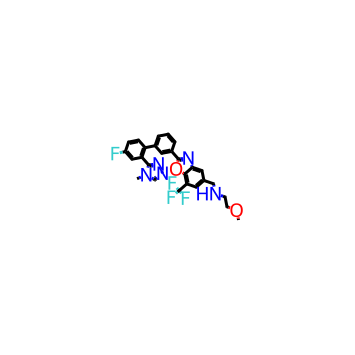 COCCNCc1cc(C(F)(F)F)c2oc(-c3cccc(-c4ccc(F)cc4-c4nncn4C)c3)nc2c1